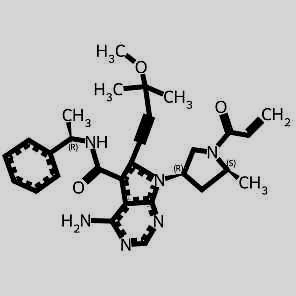 C=CC(=O)N1C[C@H](n2c(C#CC(C)(C)OC)c(C(=O)N[C@H](C)c3ccccc3)c3c(N)ncnc32)C[C@@H]1C